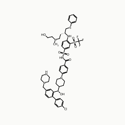 CN(CCO)CC[C@H](CSc1ccccc1)Nc1ccc(S(=O)(=O)NC(=O)c2ccc(N3CCC([C@@H](O)c4cc(CN5CCNCC5)ccc4-c4ccc(Cl)cc4)CC3)cc2)cc1S(=O)(=O)C(F)(F)F